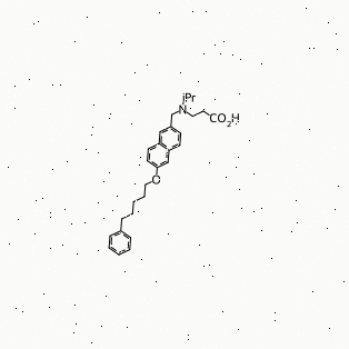 CC(C)N(CCC(=O)O)Cc1ccc2cc(OCCCCCc3ccccc3)ccc2c1